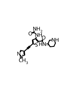 Cn1cc(C#Cc2cc(NC(N)=O)c(C(=O)N[C@H]3CCCNC3)s2)cn1